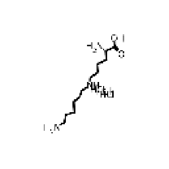 Cl.Cl.Cl.NCCCCCCNCCCC[C@H](N)C(=O)O